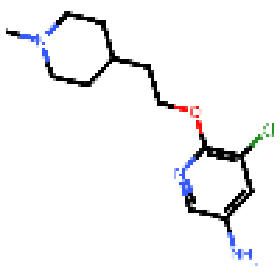 CN1CCC(CCOc2ncc(N)cc2Cl)CC1